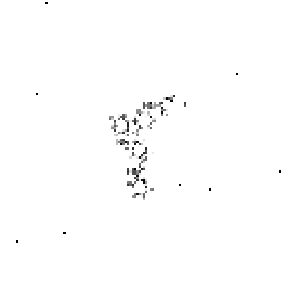 C=CC(=O)N[C@@H]1CCc2c(-c3ccc(ONc4ccccn4)cc3)c3c(N)ncnc3n2C1